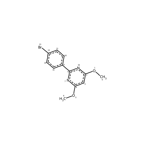 COc1cc(OC)nc(-c2ccc(Br)cc2)n1